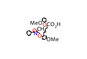 COc1ccc(OCc2nc(-c3ccccc3)oc2C)c(C=CCCC(Oc2ccccc2OC)C(=O)O)c1